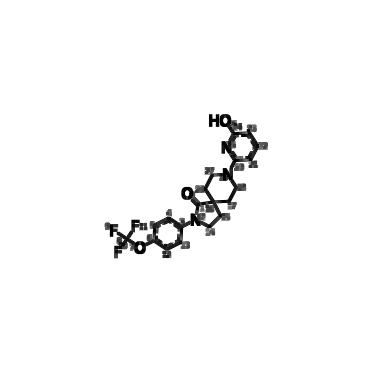 O=C1N(c2ccc(OC(F)(F)F)cc2)CCC12CCN(c1cccc(O)n1)CC2